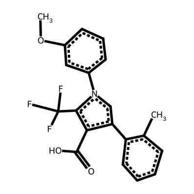 COc1cccc(-n2cc(-c3ccccc3C)c(C(=O)O)c2C(F)(F)F)c1